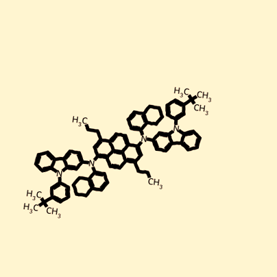 CCCc1cc(N(c2ccc3c4ccccc4n(-c4cccc(C(C)(C)C)c4)c3c2)c2cccc3c2CCCC3)c2ccc3c(CCC)cc(N(c4ccc5c6ccccc6n(-c6cccc(C(C)(C)C)c6)c5c4)c4cccc5c4CCCC5)c4ccc1c2c34